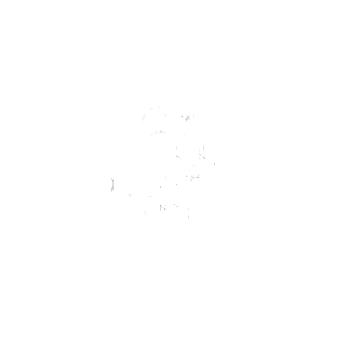 CC(C)(C)N[C@H](Cc1c[nH]c2ccccc12)NC(=O)[C@@H]1CCCCN1S(=O)(=O)c1ccccc1